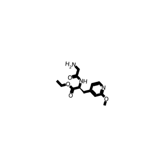 CCOC(=O)[C@H](Cc1ccnc(OC)c1)NC(=O)CN